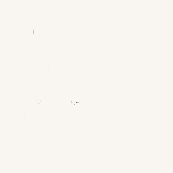 CCC(C)COC(=O)Oc1ccc(C[C@H](N)C(=O)O[C@@H](C)COC(=O)C2CCCCC2)cc1OC(=O)OCC(C)CC